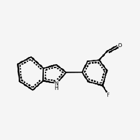 O=Cc1cc(F)cc(-c2cc3ccccc3[nH]2)c1